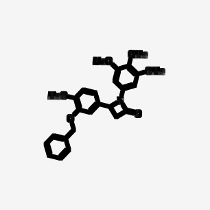 COc1ccc(C2CC(=O)N2c2cc(OC)c(OC)c(OC)c2)cc1OCc1ccccc1